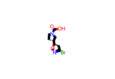 O=C(O)N1CC[C@@H]([C@H]2CC(Br)=NO2)C1